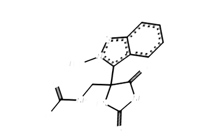 Cn1nc2ccccc2c1C1(CNC(=O)O)NC(=O)NC1=O